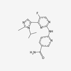 Cc1ncc(-c2nc(Nc3ccc(C(N)=O)cn3)ncc2F)n1C(C)C